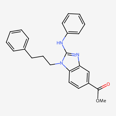 COC(=O)c1ccc2c(c1)nc(Nc1ccccc1)n2CCCc1ccccc1